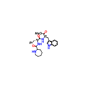 COC(=O)[C@@H](Cc1c[nH]c2ccccc12)NC(=O)[C@@H](CC(C)C)NC(=O)C1CCCCCN1